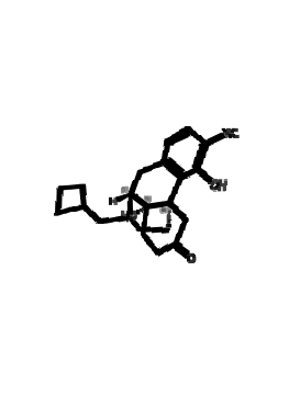 [C-]#[N+]c1ccc2c(c1O)[C@]13CCN(CC4CCC4)[C@H](C2)[C@]1(O)CCC(=O)C3